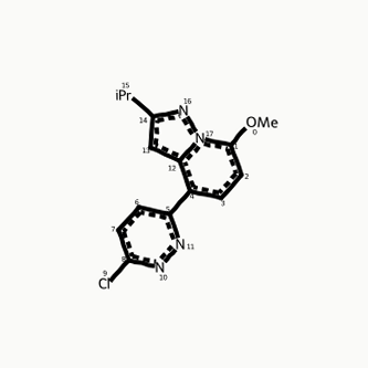 COc1ccc(-c2ccc(Cl)nn2)c2cc(C(C)C)nn12